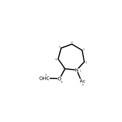 CC(=O)N1CCCCCC1OC=O